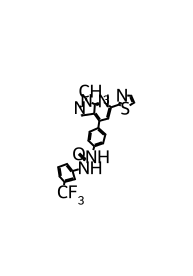 Cn1ncc2c(-c3ccc(NC(=O)Nc4cccc(C(F)(F)F)c4)cc3)cc(-c3nccs3)nc21